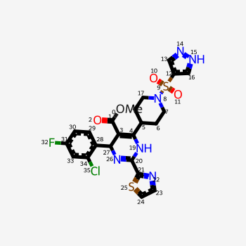 COC(=O)C1=C(C2CCN(S(=O)(=O)c3cn[nH]c3)CC2)NC(c2nccs2)=NC1c1ccc(F)cc1Cl